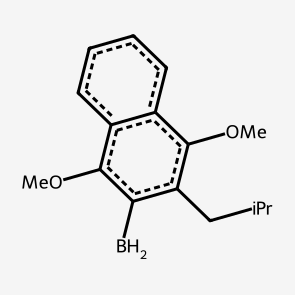 Bc1c(CC(C)C)c(OC)c2ccccc2c1OC